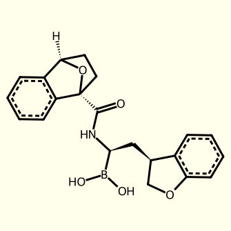 O=C(N[C@@H](C[C@@H]1COc2ccccc21)B(O)O)[C@@]12CC[C@@H](O1)c1ccccc12